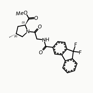 COC(=O)[C@@H]1C[C@@H](C)CN1C(=O)CNC(=O)c1ccc2c(c1)-c1ccccc1C2(F)F